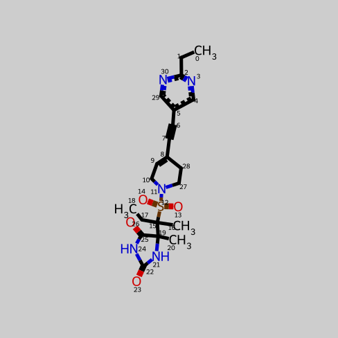 CCc1ncc(C#CC2=CCN(S(=O)(=O)C(C)(CC)C3(C)NC(=O)NC3=O)CC2)cn1